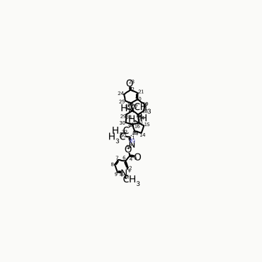 C/C(=N\OC(=O)c1ccc[n+](C)c1)[C@H]1CC[C@H]2[C@@H]3CCC4=CC(=O)CC[C@]4(C)[C@H]3CC[C@]12C